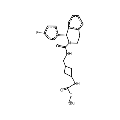 CC(C)(C)OC(=O)NC1CC(CNC(=O)N2CCc3ccccc3[C@@H]2c2ccc(F)cc2)C1